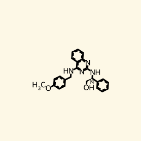 COc1ccc(CNc2nc(N[C@H](CO)c3ccccc3)nc3ccccc23)cc1